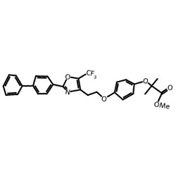 COC(=O)C(C)(C)Oc1ccc(OCCc2nc(-c3ccc(-c4ccccc4)cc3)oc2C(F)(F)F)cc1